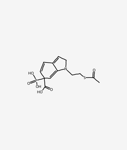 CC(=O)SCCN1CC=C2C=CC(C(=O)O)(P(=O)(O)O)C=C21